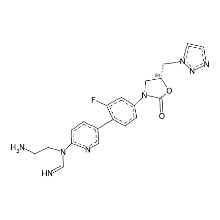 N=CN(CCN)c1ccc(-c2ccc(N3C[C@H](Cn4ccnn4)OC3=O)cc2F)cn1